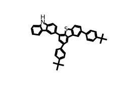 CC(C)(C)c1ccc(-c2ccc3sc4c(-c5ccc6[nH]c7ccccc7c6c5)cc(-c5ccc(C(C)(C)C)cc5)cc4c3c2)cc1